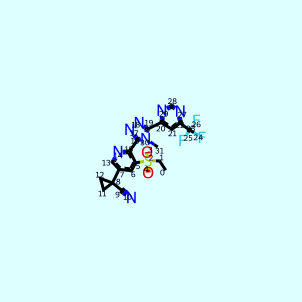 CCS(=O)(=O)c1cc(C2(C#N)CC2)cnc1-c1nnc(-c2cc(C(F)(F)F)ncn2)n1C